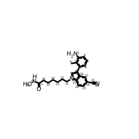 Cc1c(N)cccc1-c1cn(CCCCCCC(=O)NO)c2ccc(C#N)cc12